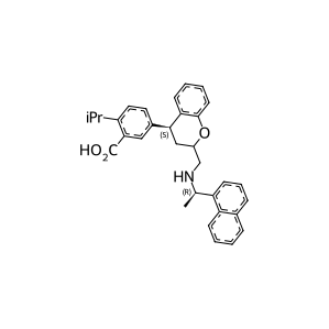 CC(C)c1ccc([C@@H]2CC(CN[C@H](C)c3cccc4ccccc34)Oc3ccccc32)cc1C(=O)O